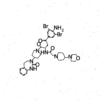 Nc1c(Br)cc(C(=O)C[C@@H](NC(=O)CN2CCC(N3CCOCC3)CC2)C(=O)N2CCC(N3CCc4ccccc4NC3=O)CC2)cc1Br